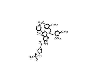 COc1ccc(CN(Cc2ccc(OC)cc2OC)c2nc(-c3cnccc3C)cc3cc(NC(=O)C4C5CC(NS(C)(=O)=O)CC54)ncc23)c(OC)c1